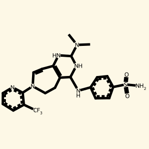 CN(C)C1NC2=C(CCN(c3ncccc3C(F)(F)F)C=C2)C(Nc2ccc(S(N)(=O)=O)cc2)N1